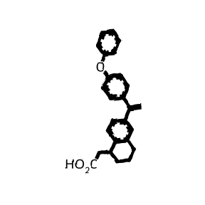 C=C(c1ccc(Oc2ccccc2)cc1)c1ccc2c(c1)CCCC2CC(=O)O